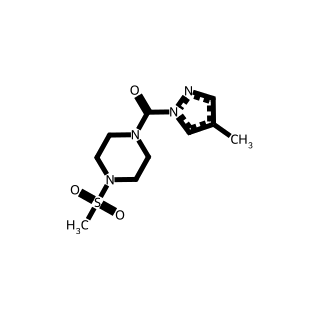 Cc1cnn(C(=O)N2CCN(S(C)(=O)=O)CC2)c1